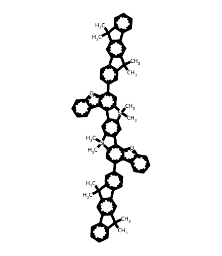 CC1(C)c2ccccc2-c2cc3c(cc21)-c1ccc(-c2cc4c(c5c2oc2ccccc25)-c2cc5c(cc2[Si]4(C)C)-c2c(cc(-c4ccc6c(c4)C(C)(C)c4cc7c(cc4-6)C(C)(C)c4ccccc4-7)c4c2oc2ccccc24)[Si]5(C)C)cc1C3(C)C